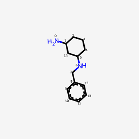 NC1CCCC(NCc2ccccc2)C1